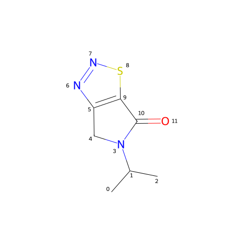 CC(C)N1Cc2nnsc2C1=O